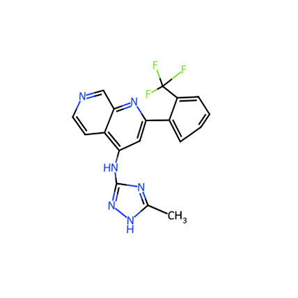 Cc1nc(Nc2cc(-c3ccccc3C(F)(F)F)nc3cnccc23)n[nH]1